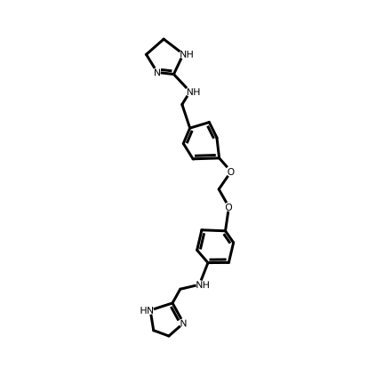 c1cc(OCOc2ccc(NCC3=NCCN3)cc2)ccc1CNC1=NCCN1